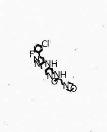 Cc1nnc(-c2cc(Cl)ccc2F)cc1Nc1ccnc(NC(=O)CCN2CCOCC2)c1